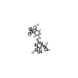 COc1ccc(CSc2nc(N(C)OC)c3ncn(C)c3n2)cc1[N+](=O)[O-]